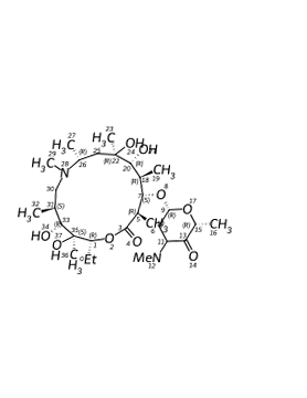 CC[C@H]1OC(=O)[C@H](C)[C@@H](O[C@H]2CC(NC)C(=O)[C@@H](C)O2)[C@H](C)[C@@H](O)[C@](C)(O)C[C@@H](C)N(C)C[C@H](C)[C@@H](O)[C@]1(C)O